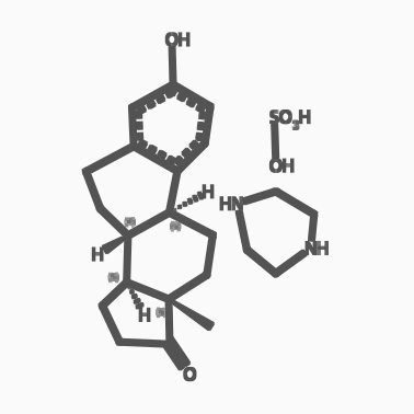 C1CNCCN1.C[C@]12CC[C@@H]3c4ccc(O)cc4CC[C@H]3[C@@H]1CCC2=O.O=S(=O)(O)O